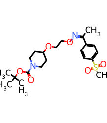 CC(=NOCCOC1CCN(C(=O)OC(C)(C)C)CC1)c1ccc(S(C)(=O)=O)cc1